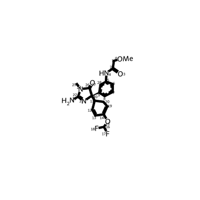 COCC(=O)Nc1cccc([C@@]2(C3C=CC(OC(F)F)=CC3)N=C(N)N(C)C2=O)c1